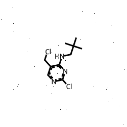 CC(C)(C)CNc1nc(Cl)ncc1CCl